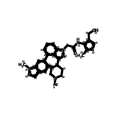 CC(=O)N1CCC(c2nn(CC(=O)Nc3c(CO)csc3C)c3cccc(-c4cc5c(cnn5C)cc4F)c23)CC1